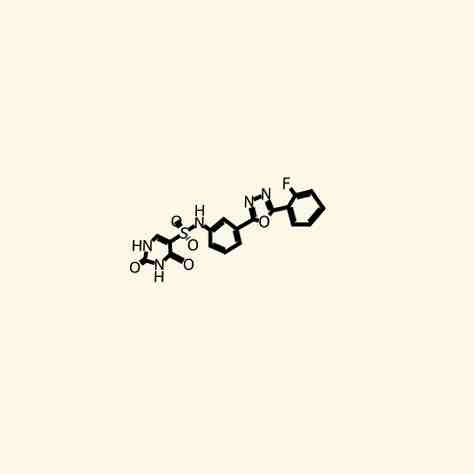 O=c1[nH]cc(S(=O)(=O)Nc2cccc(-c3nnc(-c4ccccc4F)o3)c2)c(=O)[nH]1